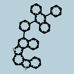 c1ccc(-c2c3ccccc3c(-c3cccc(-c4cc5sc6ccc7sc8ccccc8c7c6c5c5ccccc45)c3)c3ccccc23)cc1